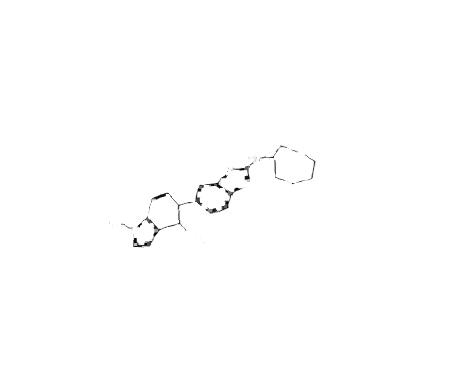 CC1c2ccn(C)c2C=CC1c1ccc2oc(NC3CCCCCC3)nc2c1